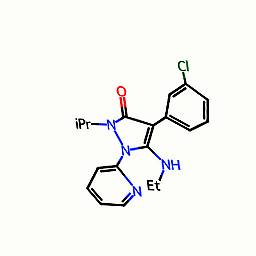 CCNc1c(-c2cccc(Cl)c2)c(=O)n(C(C)C)n1-c1ccccn1